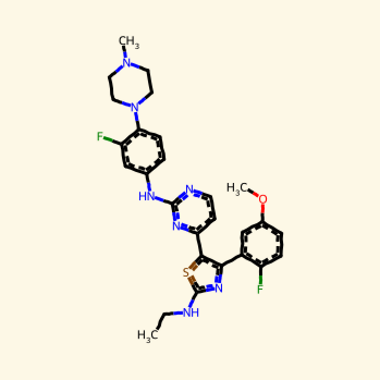 CCNc1nc(-c2cc(OC)ccc2F)c(-c2ccnc(Nc3ccc(N4CCN(C)CC4)c(F)c3)n2)s1